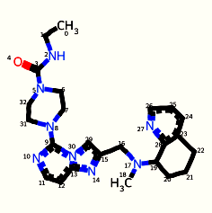 CCNC(=O)N1CCN(c2nccc3nc(CN(C)C4CCCc5cccnc54)cn23)CC1